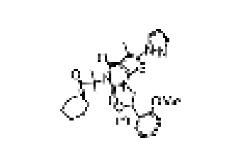 COc1ccccc1C(Cn1c(=O)n(C(C)(C)C(=O)N2CCCCC2)c(=O)c2c(C)c(-n3cccn3)sc21)OC(C)C